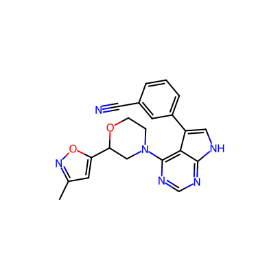 Cc1cc(C2CN(c3ncnc4[nH]cc(-c5cccc(C#N)c5)c34)CCO2)on1